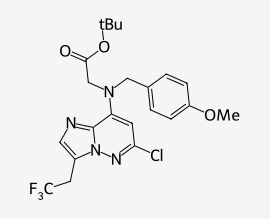 COc1ccc(CN(CC(=O)OC(C)(C)C)c2cc(Cl)nn3c(CC(F)(F)F)cnc23)cc1